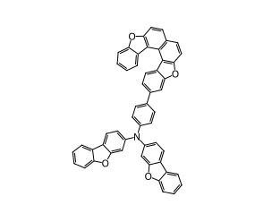 c1ccc2c(c1)oc1cc(N(c3ccc(-c4ccc5c(c4)oc4ccc6ccc7oc8ccccc8c7c6c45)cc3)c3ccc4c(c3)oc3ccccc34)ccc12